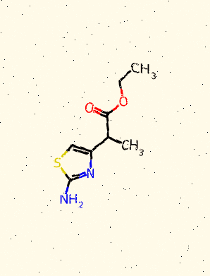 CCOC(=O)C(C)c1csc(N)n1